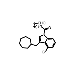 CNC(=O)n1cc(CC2CCCCCC2)c2c(Br)cccc21.NC=O